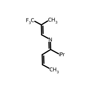 C\C=C/C(=N\C=C(/C)C(F)(F)F)C(C)C